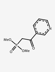 COP(=O)(CC(=O)c1cccnc1)OC